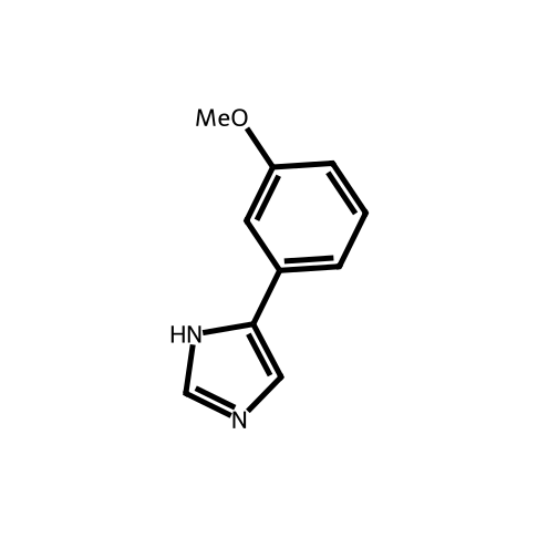 COc1cccc(-c2cnc[nH]2)c1